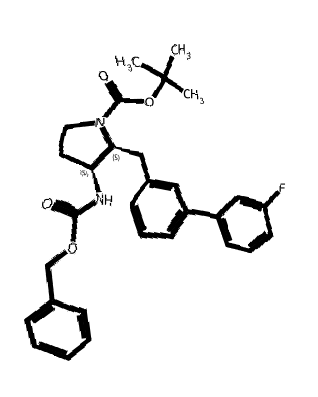 CC(C)(C)OC(=O)N1CC[C@H](NC(=O)OCc2ccccc2)[C@@H]1Cc1cccc(-c2cccc(F)c2)c1